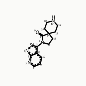 O=C1N(c2snc3ncccc23)CCC12CCNCC2